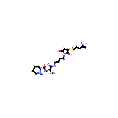 C=C(N)CCCSC1CC(=O)N(CCCCNC(=O)[C@@H](NC(=O)[C@H]2CCCCN2C)[C@@H](C)CC)C1=O